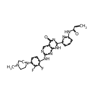 C=CC(=O)Nc1cccc(-c2nc(=O)c3cnc(Nc4ccc(N5CCN(C)CC5)c(F)c4F)nc3[nH]2)n1